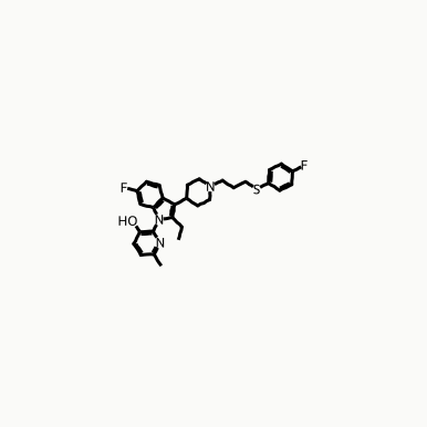 CCc1c(C2CCN(CCCSc3ccc(F)cc3)CC2)c2ccc(F)cc2n1-c1nc(C)ccc1O